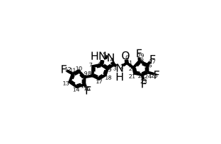 O=C(Nc1n[nH]c2cc(-c3cc(F)ccc3F)ccc12)c1cc(F)c(F)c(F)c1F